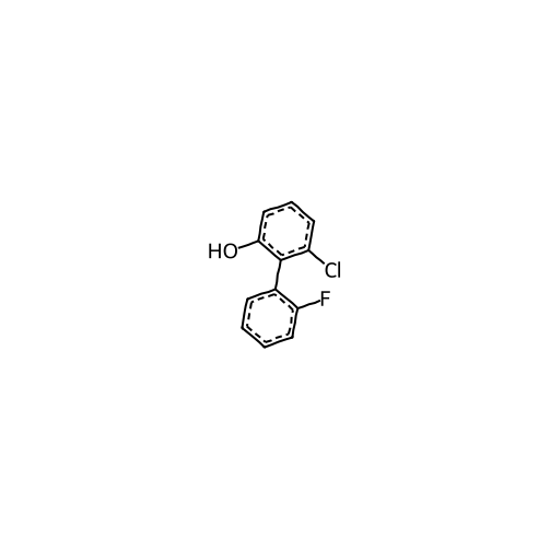 Oc1cccc(Cl)c1-c1ccccc1F